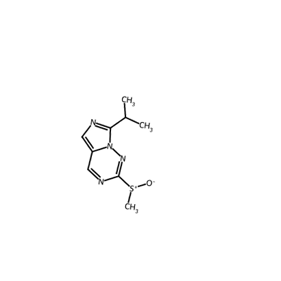 CC(C)c1ncc2cnc([S+](C)[O-])nn12